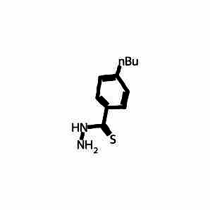 CCCCc1ccc(C(=S)NN)cc1